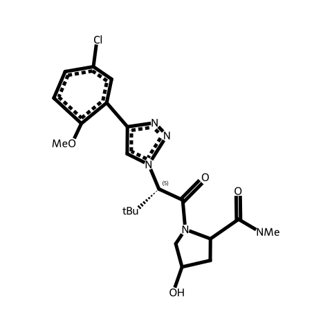 CNC(=O)C1CC(O)CN1C(=O)[C@@H](n1cc(-c2cc(Cl)ccc2OC)nn1)C(C)(C)C